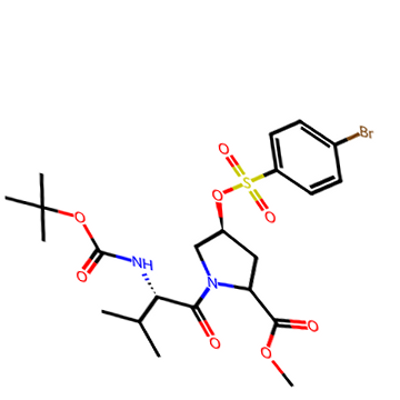 COC(=O)C1C[C@H](OS(=O)(=O)c2ccc(Br)cc2)CN1C(=O)[C@@H](NC(=O)OC(C)(C)C)C(C)C